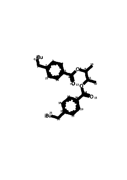 CCC(C)Cc1ccc(C(=O)OC(C)C(C)OC(=O)c2ccc(CC(C)CC)cc2)cc1